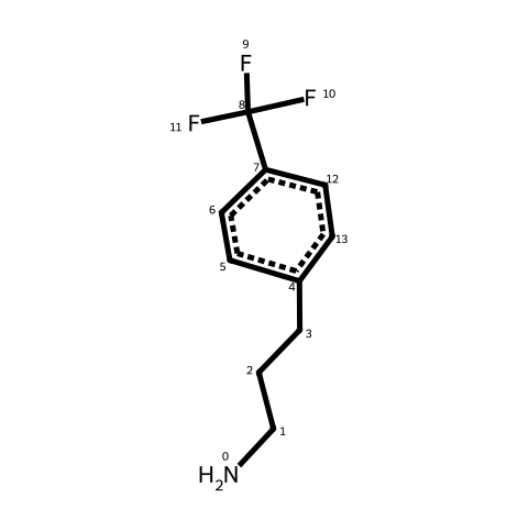 NCCCc1ccc(C(F)(F)F)cc1